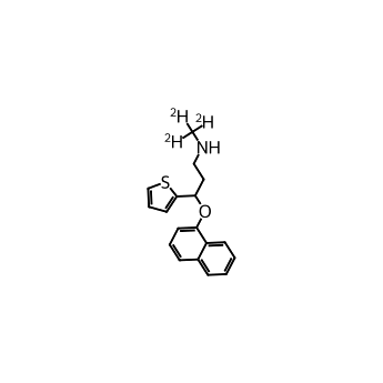 [2H]C([2H])([2H])NCCC(Oc1cccc2ccccc12)c1cccs1